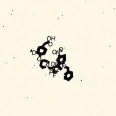 COc1cc(CC(=O)O)ccc1OC1CCN(CC(O)(c2cn(Cc3ccccc3)c3ccc([N+](=O)[O-])cc23)C(F)(F)F)CC1